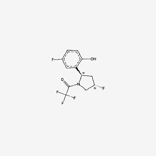 O=C(N1C[C@@H](F)C[C@@H]1c1cc(F)ccc1O)C(F)(F)F